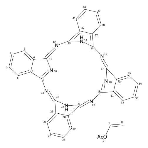 C=COC(C)=O.c1ccc2c(c1)-c1nc-2nc2[nH]c(nc3nc(nc4[nH]c(n1)c1ccccc41)-c1ccccc1-3)c1ccccc21